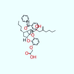 C=C(CCCC)C[C@@H](O)C=C[C@]1(O[SiH](c2ccccc2)c2ccccc2)[C@H](CCCC)C[C@@H]2Oc3c(OCC(=O)O)cccc3O[C@H]21